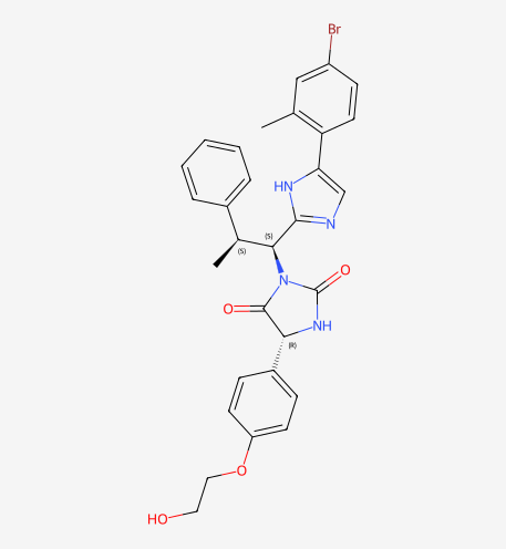 Cc1cc(Br)ccc1-c1cnc([C@H]([C@@H](C)c2ccccc2)N2C(=O)N[C@H](c3ccc(OCCO)cc3)C2=O)[nH]1